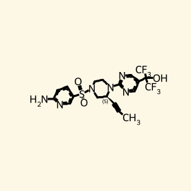 CC#C[C@H]1CN(S(=O)(=O)c2ccc(N)nc2)CCN1c1ncc(C(O)(C(F)(F)F)C(F)(F)F)cn1